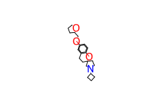 c1cc2c(cc1OCC1CCCO1)CCC1(CCN(C3CCC3)C1)O2